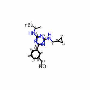 CCCC[C@@H](C)Nc1nc(NCC2CC2)nc(-c2cccc(CN=O)c2)n1